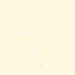 Cc1ccc(F)cc1CCOc1ncc(-c2cnc(C)c(CC(=O)O)c2N2CCC(C)(C)CC2)cc1F